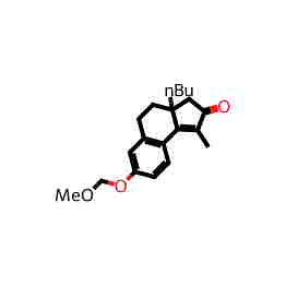 CCCCC12CCc3cc(OCOC)ccc3C1=C(C)C(=O)C2